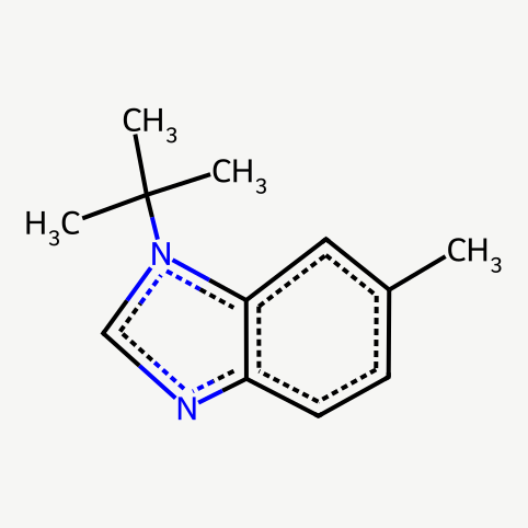 Cc1ccc2ncn(C(C)(C)C)c2c1